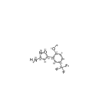 COc1ccc(C(F)(F)F)cc1-c1cc(N)no1